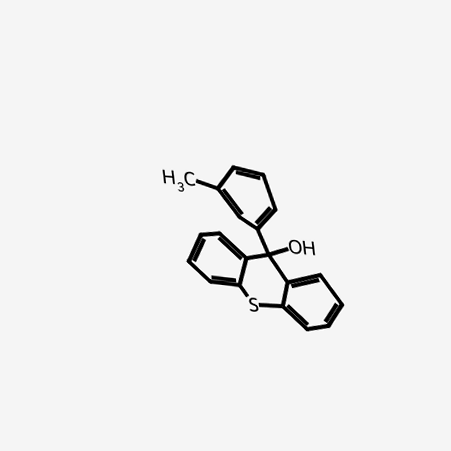 Cc1cccc(C2(O)c3ccccc3Sc3ccccc32)c1